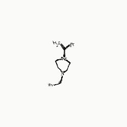 C=C(C(C)C)N1CCN(CC(C)C)CC1